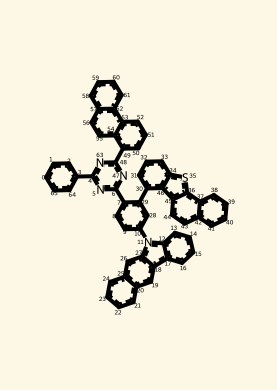 c1ccc(-c2nc(-c3ccc(-n4c5ccccc5c5cc6ccccc6cc54)cc3-c3cccc4sc5c6ccccc6ccc5c34)nc(-c3cccc4c3ccc3ccccc34)n2)cc1